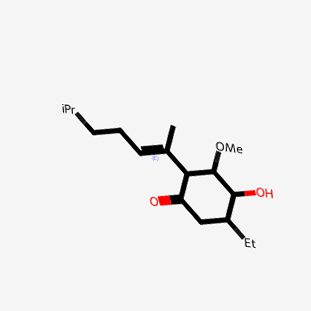 CCC1CC(=O)C(/C(C)=C/CCC(C)C)C(OC)C1O